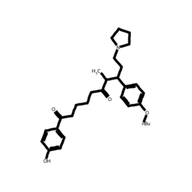 CCCCOc1ccc(C(CCN2CCCC2)C(C)C(=O)CCCCC(=O)c2ccc(O)cc2)cc1